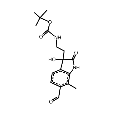 Cc1c(C=O)ccc2c1NC(=O)C2(O)CCNC(=O)OC(C)(C)C